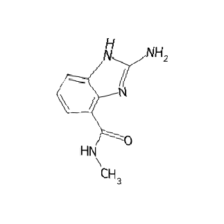 CNC(=O)c1cccc2[nH]c(N)nc12